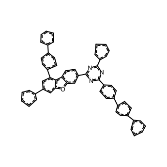 c1ccc(-c2ccc(-c3ccc(-c4nc(-c5ccccc5)nc(-c5ccc6c(c5)oc5cc(-c7ccccc7)cc(-c7ccc(-c8ccccc8)cc7)c56)n4)cc3)cc2)cc1